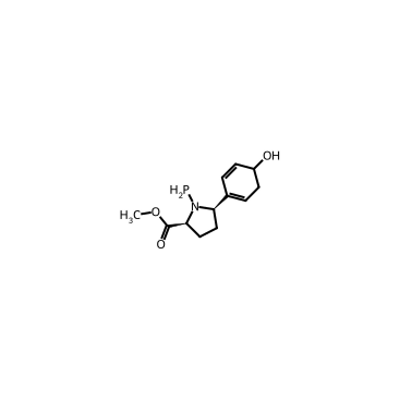 COC(=O)[C@@H]1CC[C@H](C2=CCC(O)C=C2)N1P